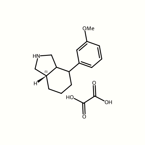 COc1cccc(C2CCC[C@@H]3CNCC23)c1.O=C(O)C(=O)O